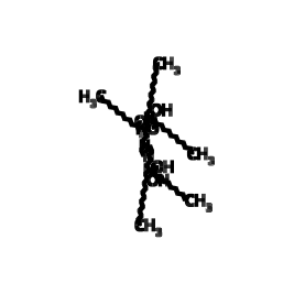 CCCCCCCCCCC(O)CN(CCN1CCN(CCN(CC(O)CCCCCCCCCC)C(O)CCCCCCCCCC)CC1)CCN(CC(O)CCCCCCCCCC)CC(O)CCCCCCCCCC